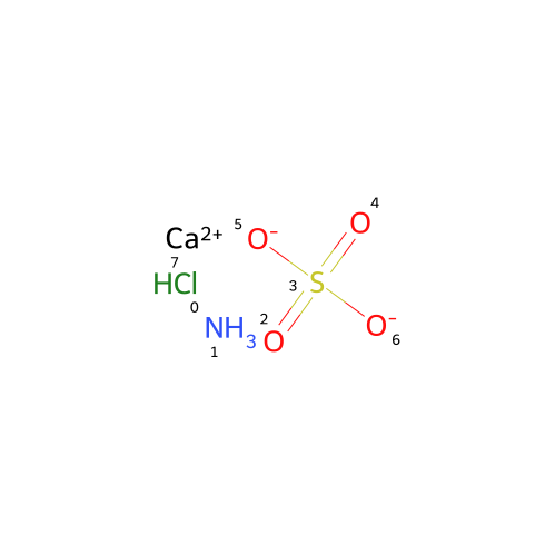 Cl.N.O=S(=O)([O-])[O-].[Ca+2]